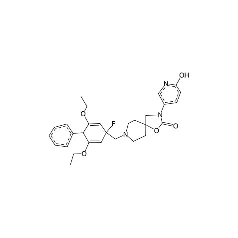 CCOC1=CC(F)(CN2CCC3(CC2)CN(c2ccc(O)nc2)C(=O)O3)C=C(OCC)C1c1ccccc1